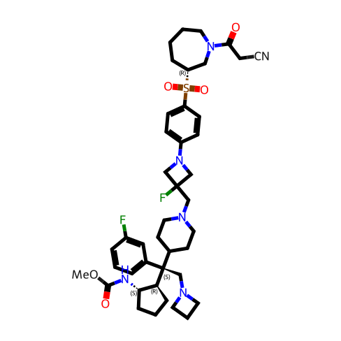 COC(=O)N[C@H]1CCC[C@@H]1[C@](CN1CCC1)(c1cccc(F)c1)C1CCN(CC2(F)CN(c3ccc(S(=O)(=O)[C@@H]4CCCCN(C(=O)CC#N)C4)cc3)C2)CC1